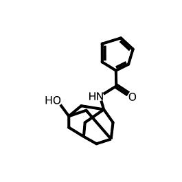 O=C(NC12CC3CC(CC(O)(C3)C1)C2)c1ccccc1